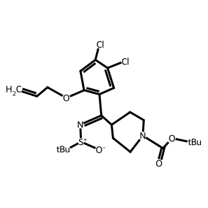 C=CCOc1cc(Cl)c(Cl)cc1C(=N[S+]([O-])C(C)(C)C)C1CCN(C(=O)OC(C)(C)C)CC1